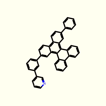 c1ccc(-c2ccc3c4ccc(-c5cccc(-c6cccnc6)c5)cc4c4c5ccccc5c5ccccc5c4c3c2)cc1